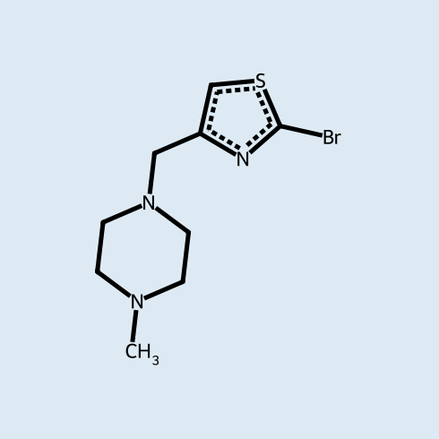 CN1CCN(Cc2csc(Br)n2)CC1